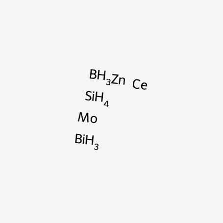 B.[BiH3].[Ce].[Mo].[SiH4].[Zn]